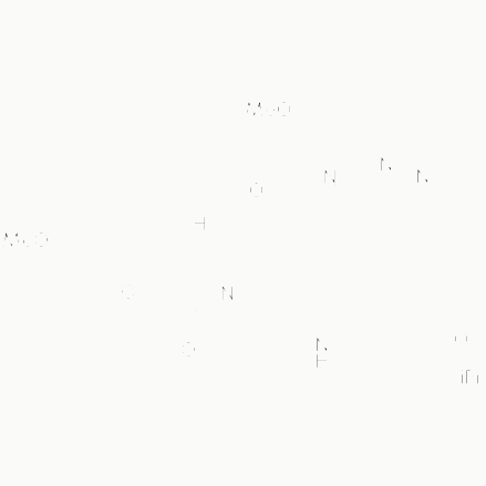 COCCO[C@@H]1C[C@H]2COc3nc4c(cnn4cc3OC)-c3cc(cc(OC(C)C)c3)NCCN2C1=O